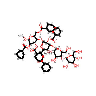 CCCCO[C@@H]1OC(COC(=O)c2ccccc2)[C@@H](O[C@@H]2OC(COC(=O)c3ccccc3)[C@H](O)C(O[C@@H]3OC(CO)[C@@H](O[C@@H]4OC(CO)[C@H](O)C(O)[C@@H]4O)C(O)[C@@H]3NC(C)=O)[C@@H]2OC(=O)c2ccccc2)[C@H](OC(=O)c2ccccc2)C1OC(=O)c1ccccc1